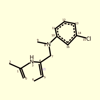 C=C(C)N/C(=C\C)CN(C)c1cccc(Cl)c1